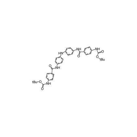 CC(C)(C)OC(=O)Nc1ccc(C(=O)Nc2ccc(Nc3ccc(NC(=O)c4ccc(NC(=O)OC(C)(C)C)cc4)cc3)cc2)cc1